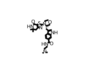 CN(C)CCNC(=O)c1ccc2c(C[C@H]3COCCN3c3nc4c(s3)C(=O)NC(C)(C)C4)c[nH]c2c1